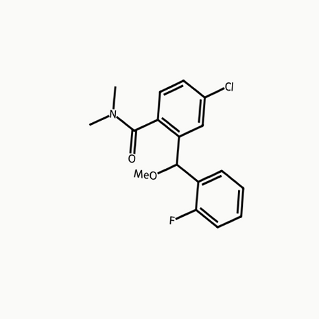 COC(c1ccccc1F)c1cc(Cl)ccc1C(=O)N(C)C